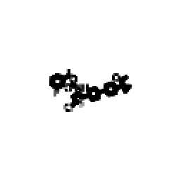 CC(=O)C1(c2ccc(-c3ccc(-c4sc(Cl)cc4NC(=O)O[C@H](C)c4cccc(F)c4)cc3)cc2)CC1